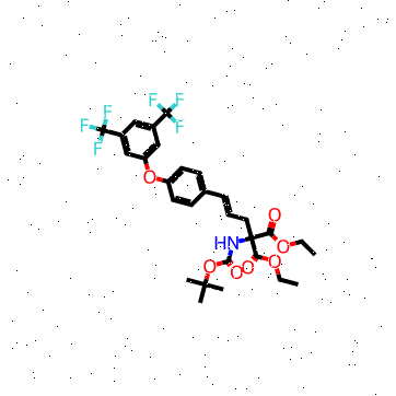 CCOC(=O)C(CC=Cc1ccc(Oc2cc(C(F)(F)F)cc(C(F)(F)F)c2)cc1)(NC(=O)OC(C)(C)C)C(=O)OCC